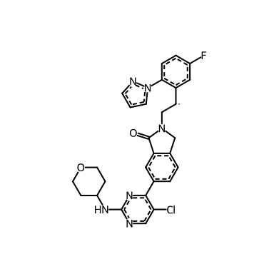 O=C1c2cc(-c3nc(NC4CCOCC4)ncc3Cl)ccc2CN1C[CH]c1cc(F)ccc1-n1cccn1